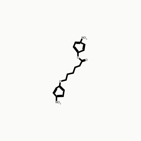 O=C(CCCCCOc1ccc([N+](=O)[O-])cc1)Oc1ccc([N+](=O)[O-])cc1